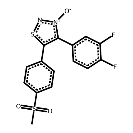 CS(=O)(=O)c1ccc(-c2sn[n+]([O-])c2-c2ccc(F)c(F)c2)cc1